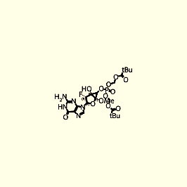 CO[C@]12O[C@@H](n3cnc4c(=O)[nH]c(N)nc43)[C@H](F)[C@@]1(O)C2OP(=O)(OCOC(=O)C(C)(C)C)OCOC(=O)C(C)(C)C